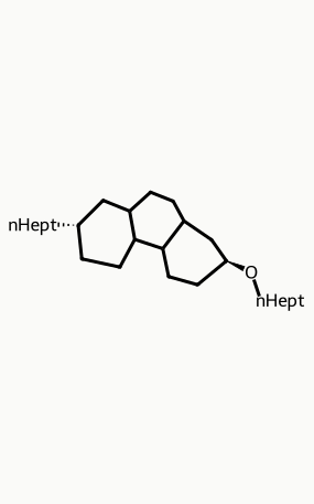 CCCCCCCO[C@H]1CCC2C(CCC3C[C@@H](CCCCCCC)CCC32)C1